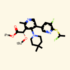 Cc1ncc(-c2cnc(SC(C)F)c(F)c2)c(N2CCC(C)(C)CC2)c1[C@H](OC(C)(C)C)C(=O)OC(C)C